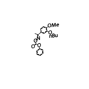 CCCCOc1cc(C(C)=NOC(=O)Oc2ccccc2)ccc1OC